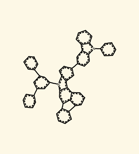 c1ccc(-c2cc(-c3ccccc3)cc(-n3c4ccc(-c5ccc6c(c5)c5ccccc5n6-c5ccccc5)cc4c4c5cccc6c5c(cc43)-c3ccccc3-6)c2)cc1